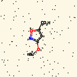 CCCCOc1cc(C(=O)O)on1